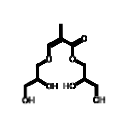 CC(=COCC(O)CO)C(=O)OCC(O)CO